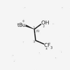 CC(C)(C)[C@@H](O)CC(F)(F)F